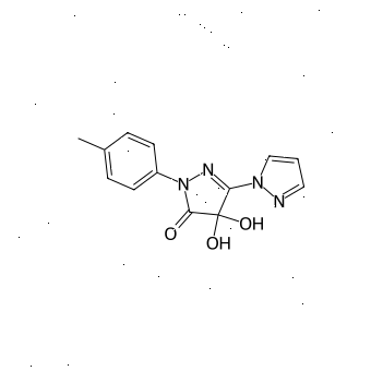 Cc1ccc(N2N=C(n3cccn3)C(O)(O)C2=O)cc1